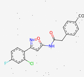 O=C(Cc1ccc(C(=O)O)cc1)Nc1cc(-c2ccc(F)cc2Cl)no1